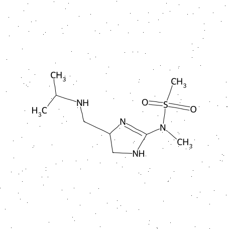 CC(C)NCC1CNC(N(C)S(C)(=O)=O)=N1